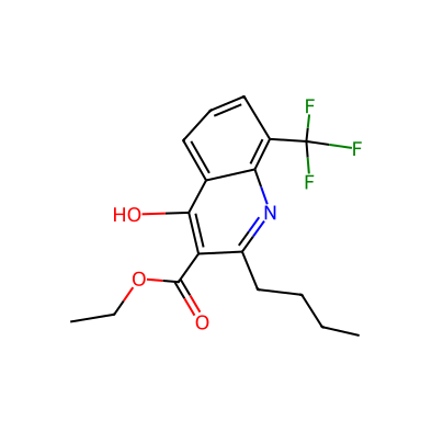 CCCCc1nc2c(C(F)(F)F)cccc2c(O)c1C(=O)OCC